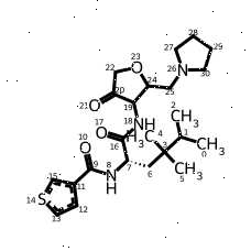 CC(C)C(C)(C)C[C@H](NC(=O)c1ccsc1)C(=O)NC1C(=O)COC1CN1CCCC1